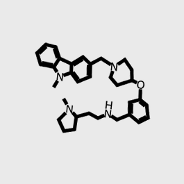 CN1CCCC1CCNCc1cccc(OC2CCN(Cc3ccc4c(c3)c3ccccc3n4C)CC2)c1